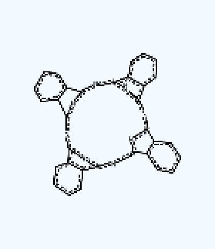 c1ccc2c(c1)-c1nc-2nc2oc(nc3nc(nc4[nH]c(n1)c1ccccc41)-c1ccccc1-3)c1ccccc21